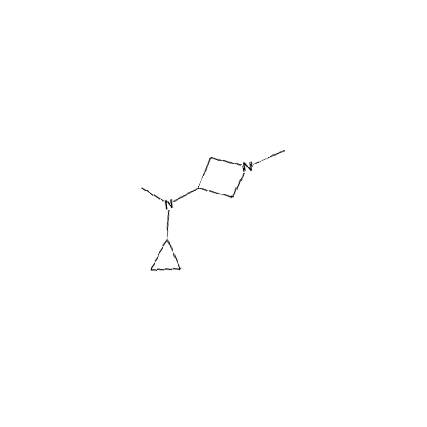 CN1CC(N(C)C2CC2)C1